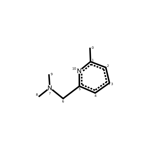 Cc1c[c]cc(CN(C)C)n1